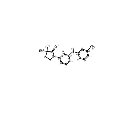 CCC1(CC)CCN(c2ccnc(Nc3cccc(C#N)c3)n2)C1=O